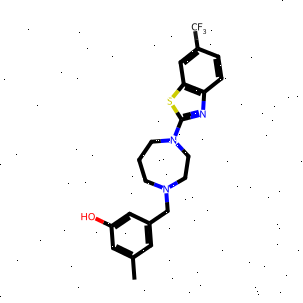 Cc1cc(O)cc(CN2CCCN(c3nc4ccc(C(F)(F)F)cc4s3)CC2)c1